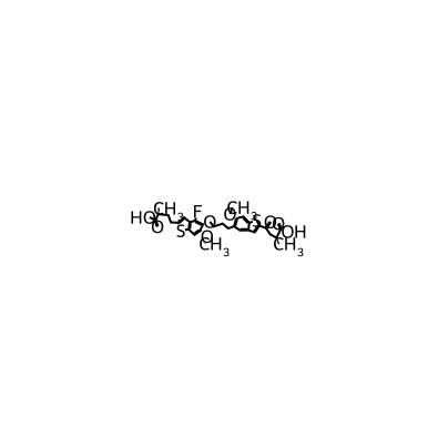 COc1cc2sc(C(=O)C[C@H](C)C(=O)O)cc2cc1CCCOc1c(OC)cc2sc(CC[C@H](C)C(=O)O)cc2c1F